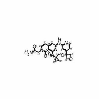 CC1(Nc2nc(Nc3cc(C4(O)COC4)ccn3)cc3ccn(CC(N)=O)c(=O)c23)CC1